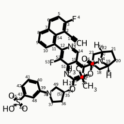 C#Cc1c(F)ccc2cccc(-c3ncc4c(N5C[C@H]6CC[C@@H](C5)N6C(=O)OC(C)(C)C)nc(O[C@H]5CCN(c6cccc(S(=O)(=O)O)c6)C5)nc4c3F)c12